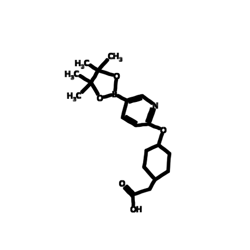 CC1(C)OB(c2ccc(OC3CCC(CC(=O)O)CC3)nc2)OC1(C)C